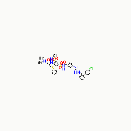 CC(C)N(C(=O)C[C@H](CSc1ccccc1)Nc1ccc(S(=O)(=O)NC(=O)c2ccc(NCCNCc3ccccc3-c3ccc(Cl)cc3)cc2)cc1S(C)(=O)=O)C(C)C